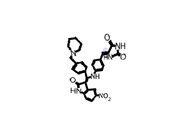 O=C1NC(=O)/C(=C/c2ccc(NC(=C3C(=O)Nc4ccc([N+](=O)[O-])cc43)c3ccc(CN4CCCCC4)cc3)cc2)N1